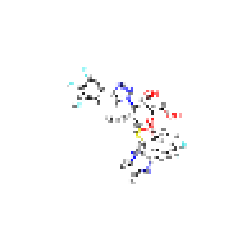 CO[C@@H]1[C@@H](n2cc(-c3cc(F)c(F)c(F)c3)nn2)[C@@H](O)[C@@H](CO)O[C@H]1SC(c1nc(C)c(C)nc1C)C1(O)CCC(F)(F)CC1